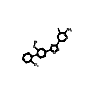 CCOc1cc(-c2nc(-c3cnc(N)c(C)c3)no2)ccc1-c1ccccc1C(F)(F)F